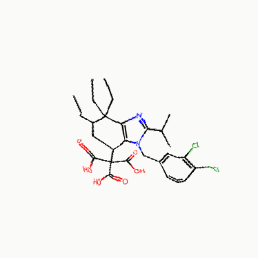 CCC1CC(C(C(=O)O)(C(=O)O)C(=O)O)c2c(nc(C(C)C)n2Cc2ccc(Cl)c(Cl)c2)C1(CC)CC